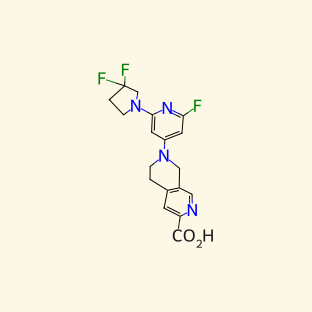 O=C(O)c1cc2c(cn1)CN(c1cc(F)nc(N3CCC(F)(F)C3)c1)CC2